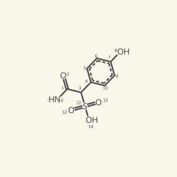 [NH]C(=O)C(c1ccc(O)cc1)S(=O)(=O)O